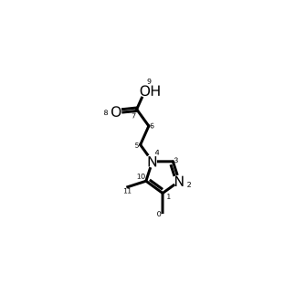 Cc1ncn(CCC(=O)O)c1C